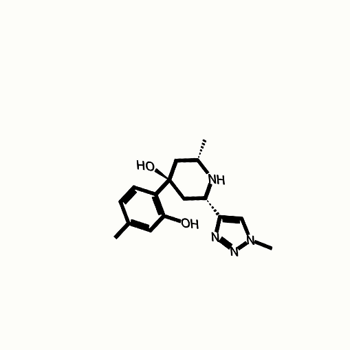 Cc1ccc([C@@]2(O)C[C@@H](c3cn(C)nn3)N[C@@H](C)C2)c(O)c1